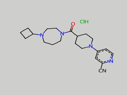 Cl.N#Cc1cc(N2CCC(C(=O)N3CCCN(C4CCC4)CC3)CC2)ccn1